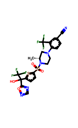 C[C@@H]1CN(c2ccc(C#N)cc2C(F)(F)F)CCN1S(=O)(=O)c1ccc(C(O)(c2ncno2)C(F)(F)F)s1